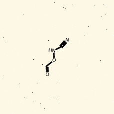 N#CNOC=O